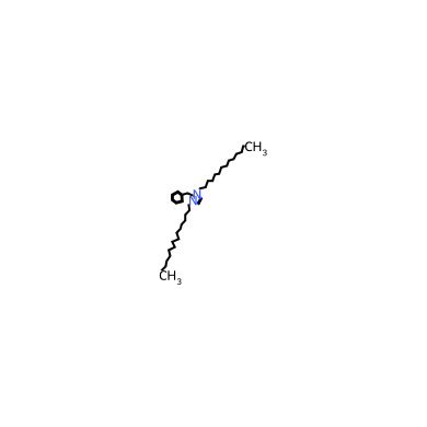 CCCCCCCCCCCCCCCC[n+]1ccn(CCCCCCCCCCCCCC)c1Cc1ccccc1